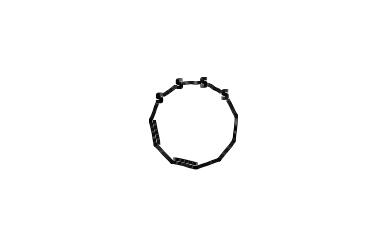 C1=C\CCCSSSS\C=C/1